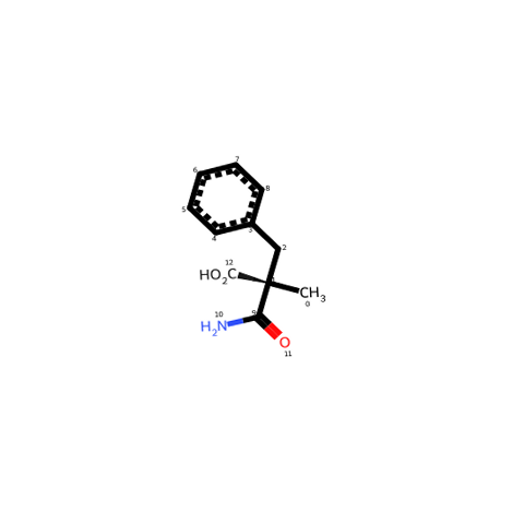 C[C@@](Cc1ccccc1)(C(N)=O)C(=O)O